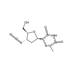 Cc1nn([C@H]2C[C@H](N=[N+]=[N-])[C@@H](CO)O2)c(=O)[nH]c1=O